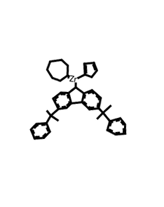 CC(C)(c1ccccc1)c1ccc2c(c1)-c1cc(C(C)(C)c3ccccc3)ccc1[CH]2[Zr]([C]1=CC=CC1)=[C]1CCCCCC1